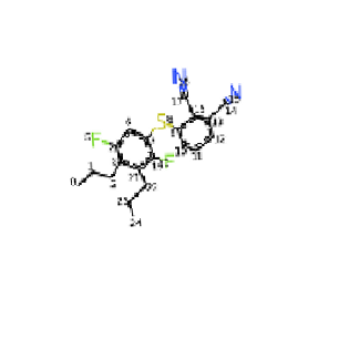 CCCc1c(F)cc(Sc2cccc(C#N)c2C#N)c(F)c1CCC